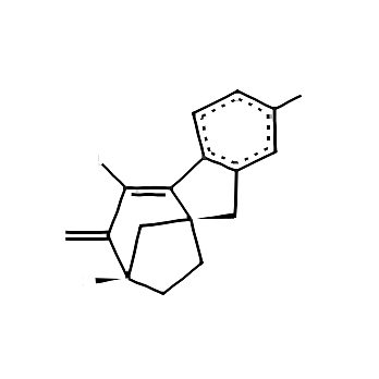 O=C1C(Cl)=C2c3ccc(O)cc3C[C@]23CC[C@H]1C3